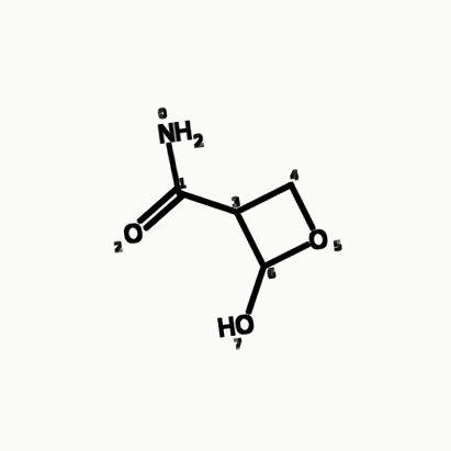 NC(=O)C1COC1O